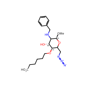 CO[C@H]1OC(CN=[N+]=[N-])[C@@H](OCCCCCC(=O)O)[C@H](O)C1NCc1ccccc1